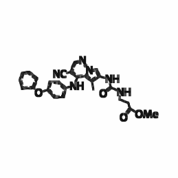 COC(=O)CCNC(=O)Nc1cn2ncc(C#N)c(Nc3ccc(Oc4ccccc4)cc3)c2c1C